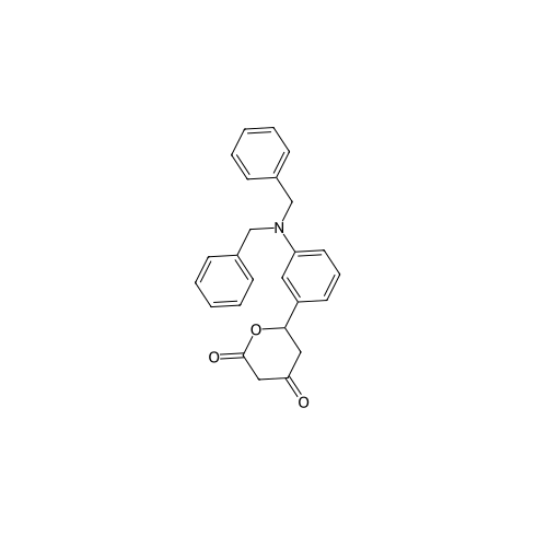 O=C1CC(=O)OC(c2cccc(N(Cc3ccccc3)Cc3ccccc3)c2)C1